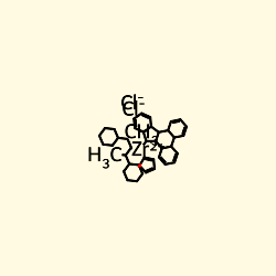 CC([C](C(C)C1CCCCC1)=[Zr+2]([C]1=CC=CC1)[CH]1C2C=CC=CC2C2C3C=CC=CC3C3C=CC=CC3C21)C1CCCCC1.[Cl-].[Cl-]